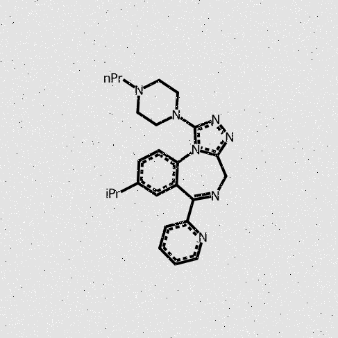 CCCN1CCN(c2nnc3n2-c2ccc(C(C)C)cc2C(c2ccccn2)=NC3)CC1